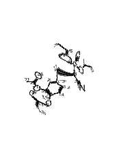 CCOP(=O)(OCC)C(C#N)=Cc1ccc(OC(C)=O)c(OC(C)=O)c1